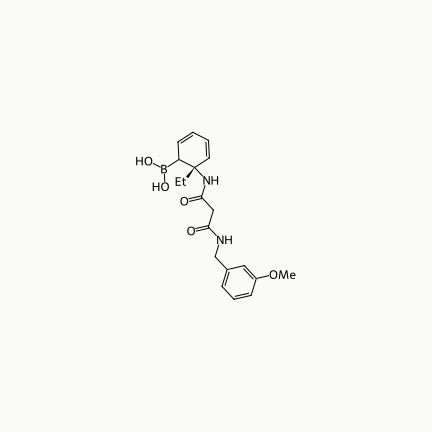 CC[C@]1(NC(=O)CC(=O)NCc2cccc(OC)c2)C=CC=CC1B(O)O